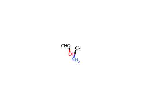 N#CN.O=CO